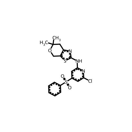 CC1(C)Cc2nc(Nc3cc(S(=O)(=O)c4ccccc4)cc(Cl)n3)sc2CO1